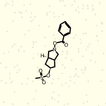 CS(=O)(=O)O[C@@H]1CC2CN(OC(=O)c3ccccc3)C[C@@H]2C1